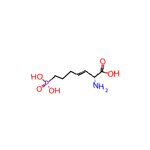 N[C@H](C=CCCCP(=O)(O)O)C(=O)O